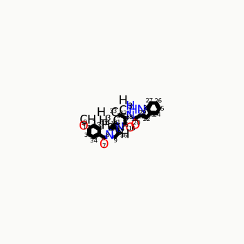 COc1ccc(C(=O)N2C[C@@H]3C[C@H]2CN3C(=O)[C@@H](NC(=O)c2cc3ccccc3[nH]2)C(C)(C)C)cc1